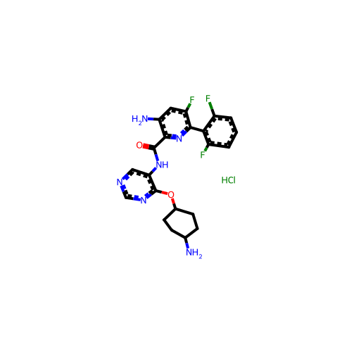 Cl.Nc1cc(F)c(-c2c(F)cccc2F)nc1C(=O)Nc1cncnc1OC1CCC(N)CC1